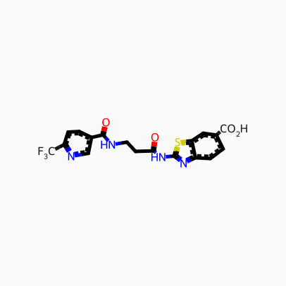 O=C(CCNC(=O)c1ccc(C(F)(F)F)nc1)Nc1nc2ccc(C(=O)O)cc2s1